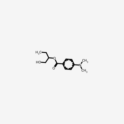 CCC(CO)OC(=O)c1ccc(N(C)C)cc1